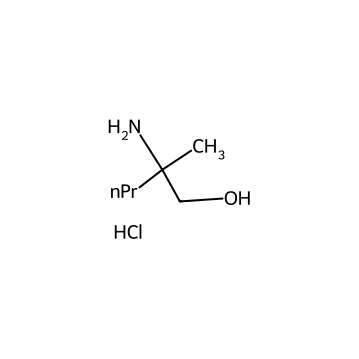 CCCC(C)(N)CO.Cl